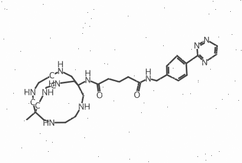 CC12CNCCNCC(NC(=O)CCCC(=O)NCc3ccc(-c4nccnn4)cc3)(CNCCNC1)CNCCNC2